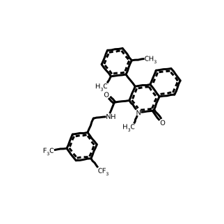 Cc1cccc(C)c1-c1c(C(=O)NCc2cc(C(F)(F)F)cc(C(F)(F)F)c2)n(C)c(=O)c2ccccc12